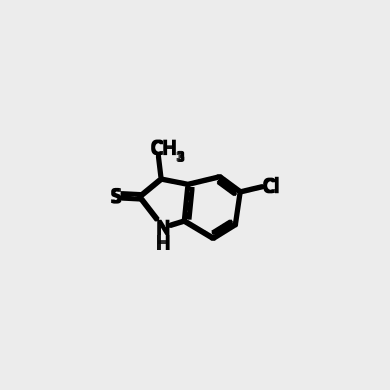 CC1C(=S)Nc2ccc(Cl)cc21